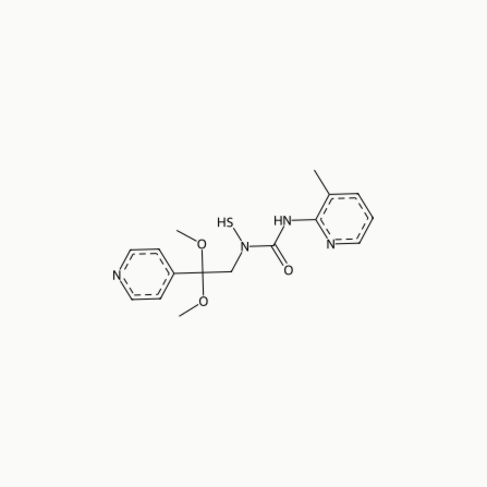 COC(CN(S)C(=O)Nc1ncccc1C)(OC)c1ccncc1